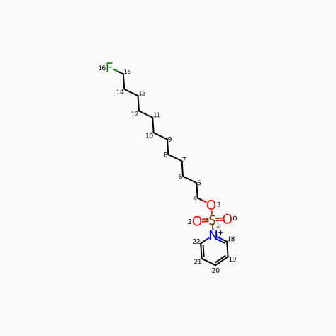 O=S(=O)(OCCCCCCCCCCCCF)[n+]1ccccc1